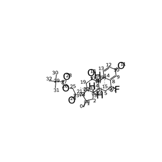 C[C@@H]1C[C@H]2[C@@H]3C[C@H](F)C4=CC(=O)C=C[C@]4(C)[C@H]3C(=O)C[C@]2(C)[C@H]1C(=O)COC(=O)C(C)(C)C